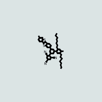 CCCCCCCCc1cc(-c2cc(-c3ccc4c(c3)sc3c5ccc(C)cc5sc43)cc(-c3c(C#N)cc(C#N)cc3C#N)c2)c(CCCCCCCC)cc1C